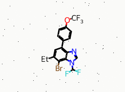 CCc1cc(-c2ccc(OC(F)(F)F)cc2)c2ncn(C(F)F)c2c1Br